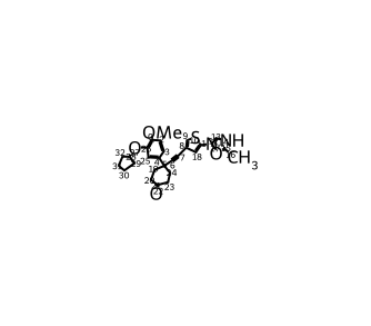 COc1ccc(C2(C#Cc3csc(N4CNC(C)O4)c3)CCC(=O)CC2)cc1OC1CCCC1